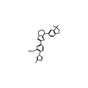 COc1nc(-c2cn3c(n2)[C@H](c2ccc4c(c2)C(C)(C)CO4)CCC3)ccc1-n1cnc(C)c1